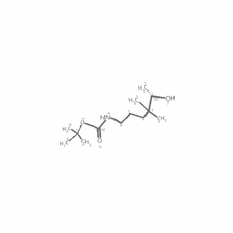 C[C@H](O)C(C)(C)CCCNC(=O)OC(C)(C)C